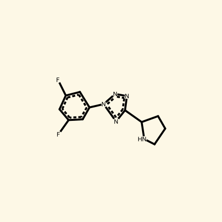 Fc1cc(F)cc(-n2nnc(C3CCCN3)n2)c1